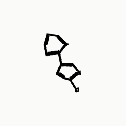 Clc1ccc(-c2[c]cccc2)cn1